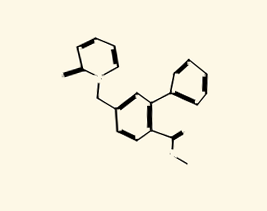 O=C(NO)c1ccc(Cn2ccccc2=O)cc1-c1ccccc1